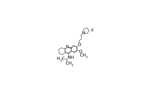 COc1cc2c(NC(C)C)c3c(nc2cc1OCCCN1CC[C@H](F)C1)CCCC3